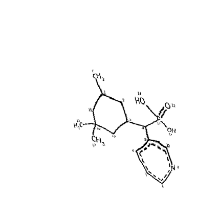 CC1CC(C(c2cccnc2)P(=O)(O)O)CC(C)(C)C1